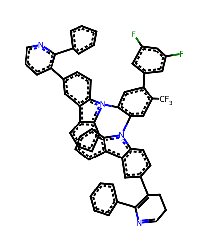 Fc1cc(F)cc(-c2cc(-n3c4ccccc4c4cc(-c5cccnc5-c5ccccc5)ccc43)c(-n3c4ccccc4c4cc(C5=C(c6ccccc6)N=CCC5)ccc43)cc2C(F)(F)F)c1